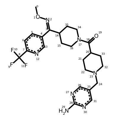 CO/N=C(\c1ccc(C(F)(F)F)nc1)C1CCN(C(=O)C2CCN(Cc3cnc(N)nc3)CC2)CC1